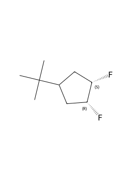 CC(C)(C)C1C[C@@H](F)[C@@H](F)C1